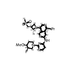 CO[C@H]1CCN(c2nccc(Nc3cc4c(C(C)C)ncc(N5C[C@H](CS(C)(=O)=O)[C@H]5C)c4cn3)n2)C[C@H]1F